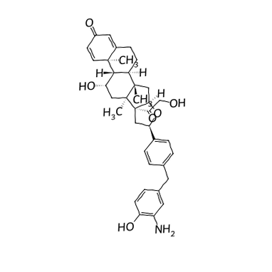 C[C@]12C[C@H](O)[C@H]3[C@@H](CCC4=CC(=O)C=C[C@@]43C)[C@]1(C)C[C@H]1O[C@@H](c3ccc(Cc4ccc(O)c(N)c4)cc3)C[C@]12C(=O)CO